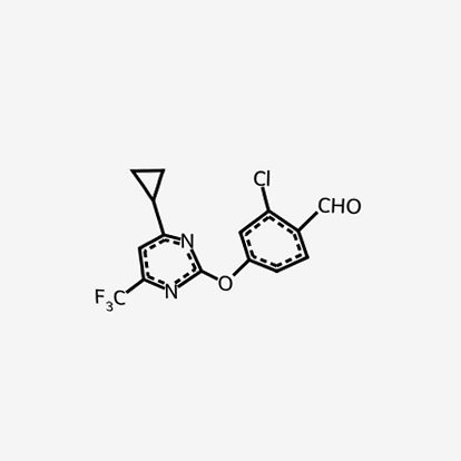 O=Cc1ccc(Oc2nc(C3CC3)cc(C(F)(F)F)n2)cc1Cl